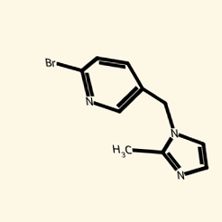 Cc1nccn1Cc1ccc(Br)nc1